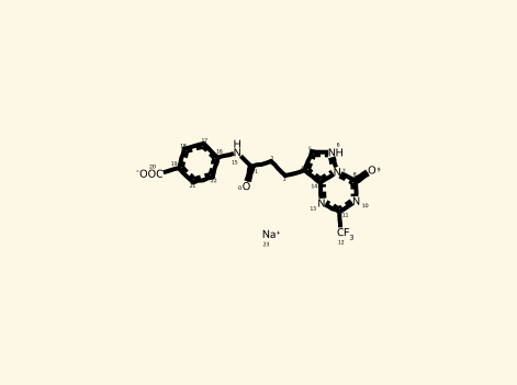 O=C(CCc1c[nH]n2c(=O)nc(C(F)(F)F)nc12)Nc1ccc(C(=O)[O-])cc1.[Na+]